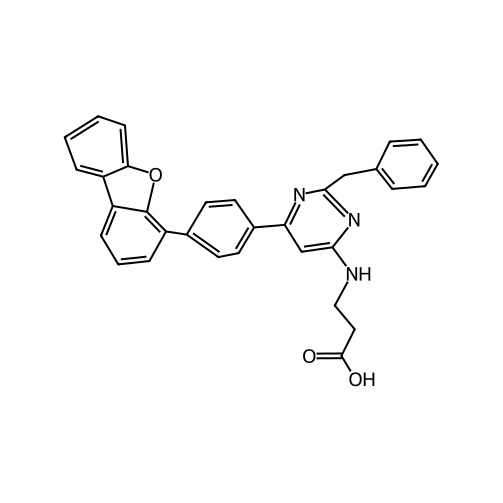 O=C(O)CCNc1cc(-c2ccc(-c3cccc4c3oc3ccccc34)cc2)nc(Cc2ccccc2)n1